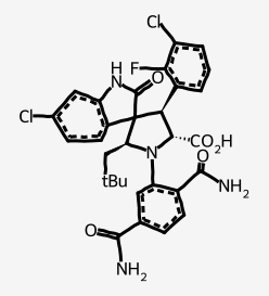 CC(C)(C)C[C@@H]1N(c2cc(C(N)=O)ccc2C(N)=O)[C@@H](C(=O)O)[C@H](c2cccc(Cl)c2F)C12C(=O)Nc1cc(Cl)ccc12